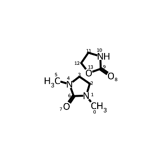 CN1CCN(C)C1=O.O=C1NCCO1